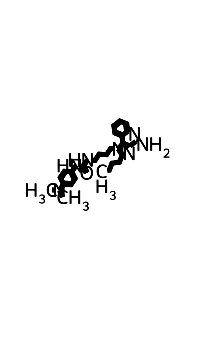 CCCCc1nc2c(N)nc3ccccc3c2n1CCCCNC(=O)Nc1ccc(N(C)C)cc1